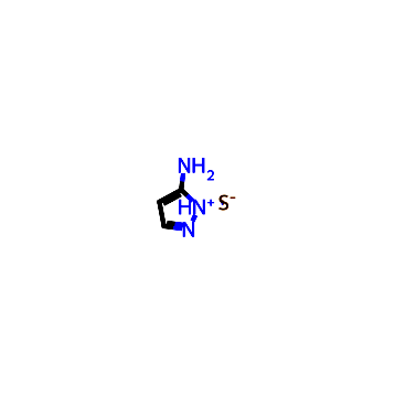 NC1=CC=N[NH+]1[S-]